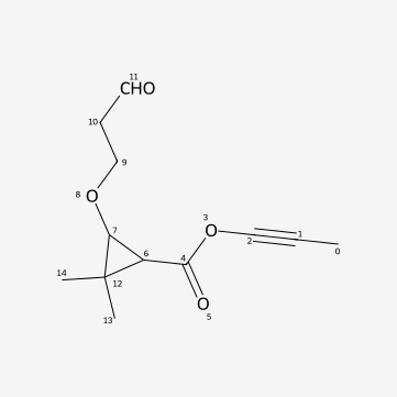 CC#COC(=O)C1C(OCCC=O)C1(C)C